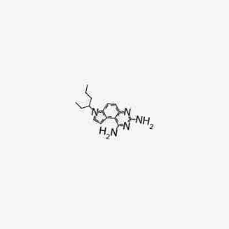 CCCC(CC)n1ccc2c3c(N)nc(N)nc3ccc21